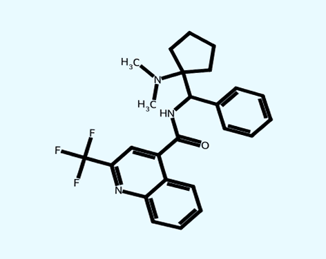 CN(C)C1(C(NC(=O)c2cc(C(F)(F)F)nc3ccccc23)c2ccccc2)CCCC1